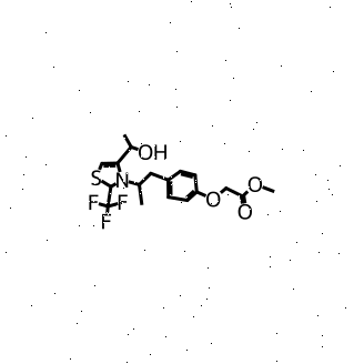 COC(=O)COc1ccc(CC(C)N2C(C(C)O)=CSC2C(F)(F)F)cc1